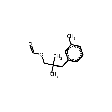 Cc1cccc(CC(C)(C)COC=O)c1